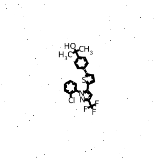 CC(C)(O)c1ccc(-c2ccc(-c3cc(C(F)(F)F)nn3-c3ccccc3Cl)s2)cc1